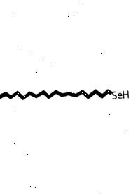 C=CCCCCCCCCCCCCCCCC[SeH]